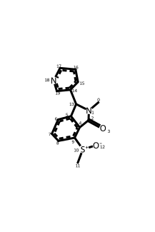 CN1C(=O)c2c(cccc2[S+](C)[O-])C1c1cccnc1